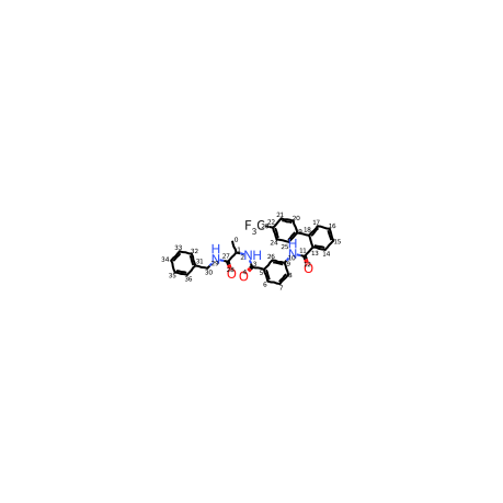 CC(NC(=O)c1cccc(NC(=O)c2ccccc2-c2ccc(C(F)(F)F)cc2)c1)C(=O)NCc1ccccc1